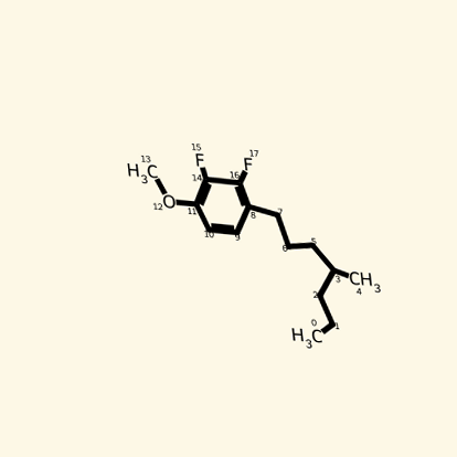 CCCC(C)CCCc1ccc(OC)c(F)c1F